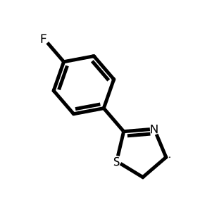 Fc1ccc(C2=N[CH]CS2)cc1